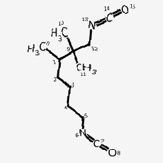 CC(CCCCN=C=O)C(C)(C)CN=C=O